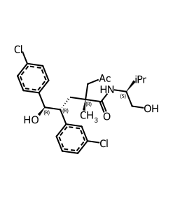 CC(=O)C[C@@](C)(C[C@H](c1cccc(Cl)c1)[C@@H](O)c1ccc(Cl)cc1)C(=O)N[C@H](CO)C(C)C